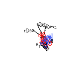 CCCCCCCCCCCCCCCCCCOc1cc(C(=O)OCC(=O)OCC2CN(P(=O)(OCC3CN(C(c4ccccc4)(c4ccccc4)c4ccccc4)CC(n4ccc(NC(=O)c5ccccc5)nc4=O)O3)N(C)C)CC(n3cnc4c(=O)[nH]c(NC(=O)C(C)C)nc43)O2)cc(OCCCCCCCCCCCCCCCCCC)c1OCCCCCCCCCCCCCCCCCC